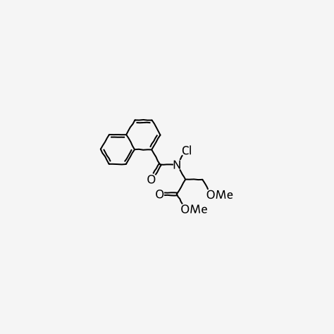 COCC(C(=O)OC)N(Cl)C(=O)c1cccc2ccccc12